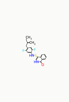 C=C(CC)Cc1cc(F)c(NSc2c[nH]c(=O)c3ccccc23)cc1F